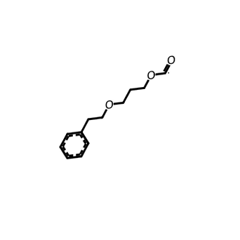 O=[C]OCCCOCCc1ccccc1